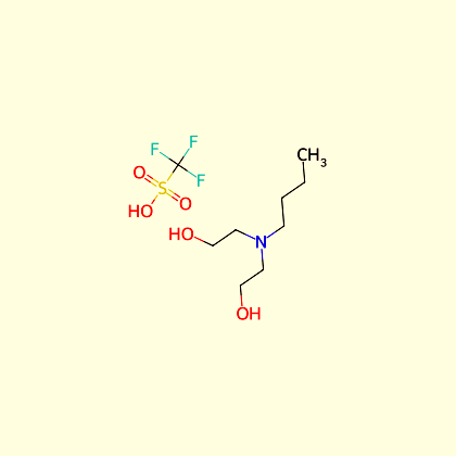 CCCCN(CCO)CCO.O=S(=O)(O)C(F)(F)F